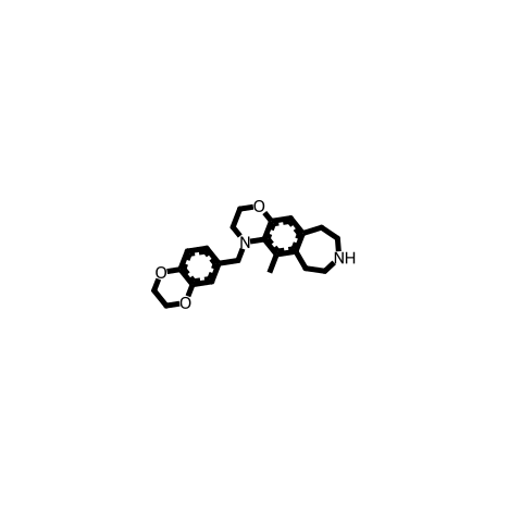 Cc1c2c(cc3c1N(Cc1ccc4c(c1)OCCO4)CCO3)CCNCC2